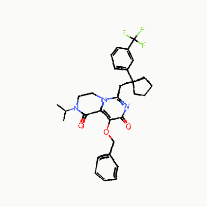 CC(C)N1CCn2c(CC3(c4cccc(C(F)(F)F)c4)CCCC3)nc(=O)c(OCc3ccccc3)c2C1=O